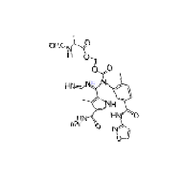 CCCNC(=O)c1c[nH]c(/C(=N\C=N)N(C(=O)OCOC(=O)C(C)NC=O)c2cc(C(=O)Nc3ccon3)ccc2C)c1C